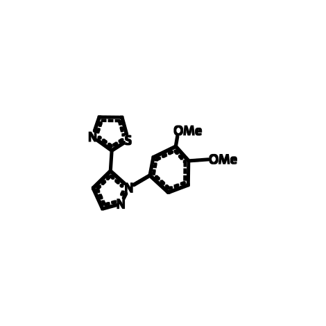 COc1ccc(-n2nccc2-c2nccs2)cc1OC